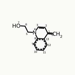 C=C1C=CN(CCO)c2ccccc21